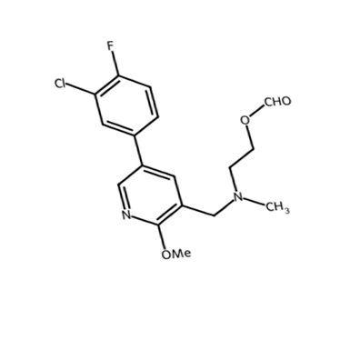 COc1ncc(-c2ccc(F)c(Cl)c2)cc1CN(C)CCOC=O